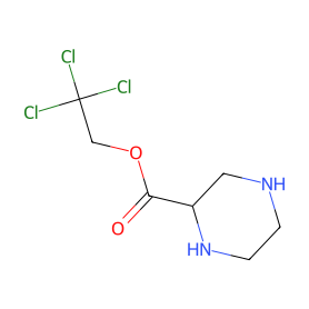 O=C(OCC(Cl)(Cl)Cl)C1CNCCN1